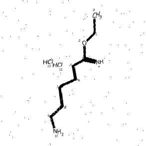 CCOC(=N)CCCCCN.Cl.Cl